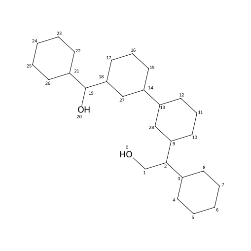 OCC(C1CCCCC1)C1CCCC(C2CCCC(C(O)C3CCCCC3)C2)C1